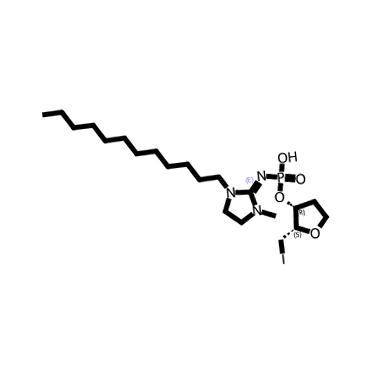 CCCCCCCCCCCCN1CCN(C)/C1=N\P(=O)(O)O[C@@H]1CCO[C@@H]1CI